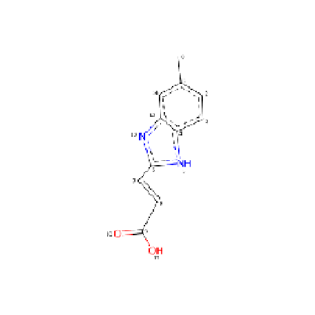 Cc1ccc2[nH]c(/C=C/C(=O)O)nc2c1